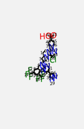 CC[C@@H]1C[C@H](N(Cc2cc(C(F)(F)F)cc(C(F)(F)F)c2)c2ncc(-c3cnn(C)c3)cn2)CN1c1nc(N2CCC(C(=O)O)CC2)ncc1Cl